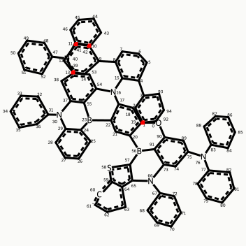 c1ccc(-c2cccc(-c3ccccc3)c2N2c3cc4c(cc3B3c5ccccc5N(c5ccccc5)c5cc(N(c6ccccc6)c6ccccc6)cc2c53)B2c3sc5ccccc5c3N(c3ccccc3)c3cc(N(c5ccccc5)c5ccccc5)cc(c32)O4)cc1